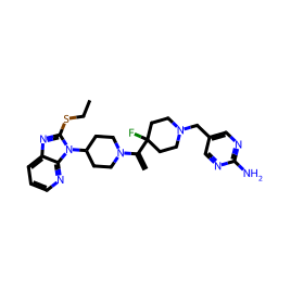 C=C(N1CCC(n2c(SCC)nc3cccnc32)CC1)C1(F)CCN(Cc2cnc(N)nc2)CC1